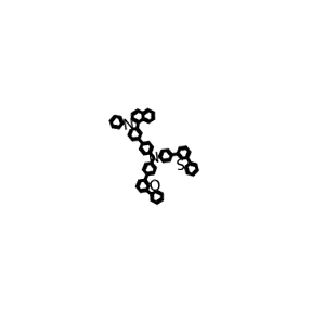 c1ccc(-n2c3ccc(-c4ccc(N(c5ccc(-c6cccc7c6oc6ccccc67)cc5)c5ccc(-c6cccc7c6sc6ccccc67)cc5)cc4)cc3c3c4ccccc4ccc32)cc1